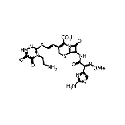 CON=C(C(=O)NC1C(=O)N2C(C(=O)O)=C(C=CSc3n[nH]c(=O)c(=O)n3CCN)CSC12)c1csc(N)n1